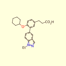 CCn1ncc2cc(-c3cc(CCC(=O)O)ccc3OC3CCCCC3)ccc21